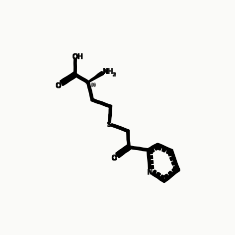 N[C@@H](CCSCC(=O)c1ccccn1)C(=O)O